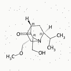 COC[C@]1(CO)C(=O)[C@@H]2CCN1[C@H](C(C)C)C2